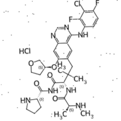 CN[C@@H](C)C(=O)N[C@H](C(=O)NC(=O)[C@@H]1CCCN1)C(C)(C)Cc1cc2c(Nc3ccc(F)c(Cl)c3F)ncnc2cc1O[C@H]1CCOC1.Cl